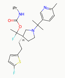 Cc1ccc(C(C)(C)N2CC[C@@](CCc3ccc(F)s3)(C(C)(F)OC(=O)NC(C)C)C2)cn1